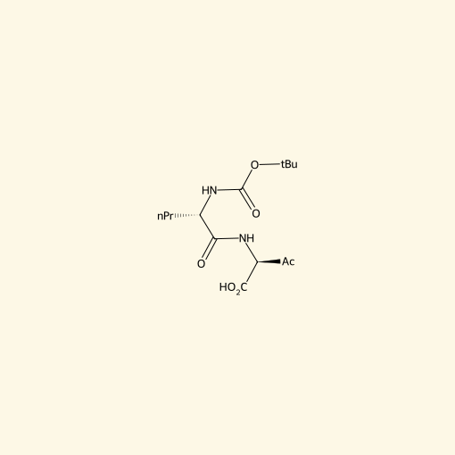 CCC[C@H](NC(=O)OC(C)(C)C)C(=O)N[C@@H](C(C)=O)C(=O)O